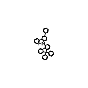 c1ccc(-c2ccc(Nc3cccc4c3-c3ccccc3C4(c3ccccc3)c3ccccc3)c(-c3ccccc3)c2)cc1